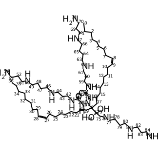 CCCCCCCC/C=C\CCCCCCCCC(CCCCCCCC/C=C\CCCCCCCC)(N(NC(=O)NCCCNCCCCNCCCN)NC(=O)NCCCNCCCCNCCCN)C(O)(O)CNCCCCNCCCN